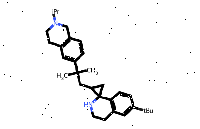 CC(C)N1CCc2cc(C(C)(C)CC3CC34NCCc3cc(C(C)(C)C)ccc34)ccc2C1